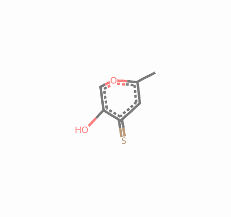 Cc1cc(=S)c(O)co1